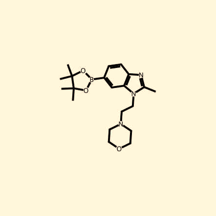 Cc1nc2ccc(B3OC(C)(C)C(C)(C)O3)cc2n1CCN1CCOCC1